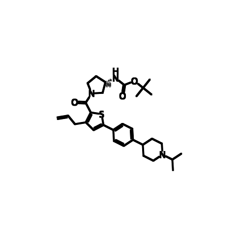 C=CCc1cc(-c2ccc(C3CCN(C(C)C)CC3)cc2)sc1C(=O)N1CC[C@H](NC(=O)OC(C)(C)C)C1